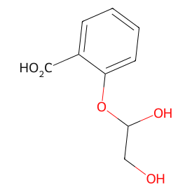 O=C(O)c1ccccc1OC(O)CO